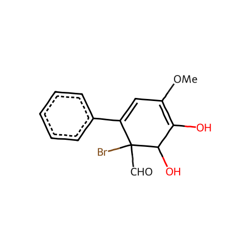 COC1=C(O)C(O)C(Br)(C=O)C(c2ccccc2)=C1